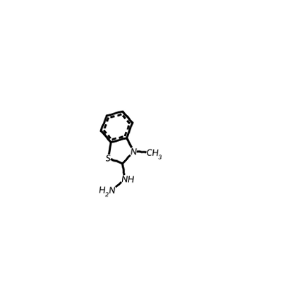 CN1c2ccccc2SC1NN